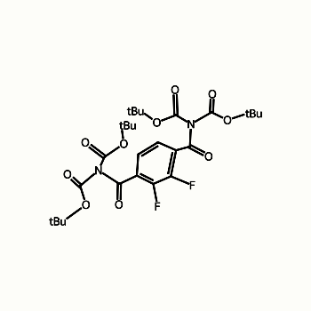 CC(C)(C)OC(=O)N(C(=O)OC(C)(C)C)C(=O)c1ccc(C(=O)N(C(=O)OC(C)(C)C)C(=O)OC(C)(C)C)c(F)c1F